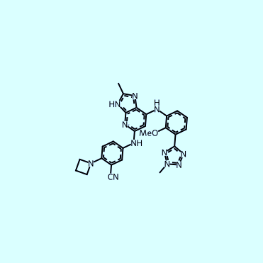 COc1c(Nc2cc(Nc3ccc(N4CCC4)c(C#N)c3)nc3[nH]c(C)nc23)cccc1-c1nnn(C)n1